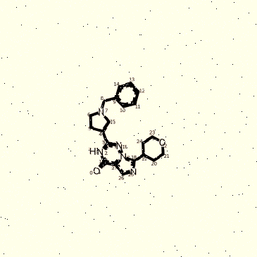 O=c1[nH]c(C2CCN(Cc3ccccc3)C2)nn2c(C3CCOCC3)ncc12